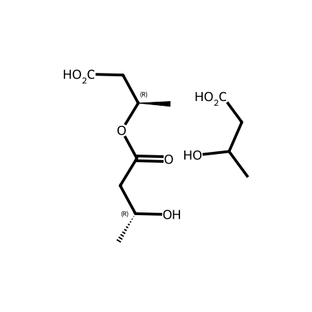 CC(O)CC(=O)O.C[C@H](CC(=O)O)OC(=O)C[C@@H](C)O